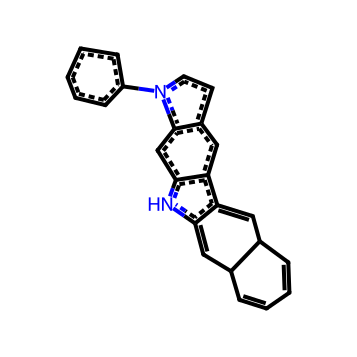 C1=CC2C=c3[nH]c4cc5c(ccn5-c5ccccc5)cc4c3=CC2C=C1